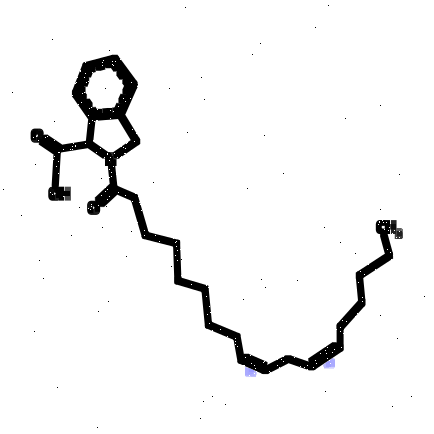 CCCCC/C=C\C/C=C\CCCCCCCC(=O)N1Cc2ccccc2C1C(=O)O